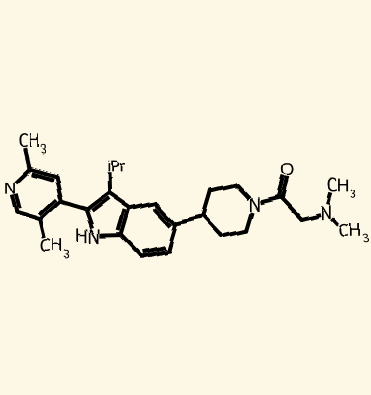 Cc1cc(-c2[nH]c3ccc(C4CCN(C(=O)CN(C)C)CC4)cc3c2C(C)C)c(C)cn1